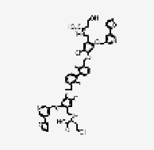 Cc1c(COc2cc(OCc3cncc(-c4ccco4)c3)c(CN[C@@H](CCO)C(O)O)cc2Cl)cccc1-c1cccc(COc2cc(OCc3cncc(-c4ccco4)c3)c(CN[C@H](CCO)C(=O)O)cc2Cl)c1C